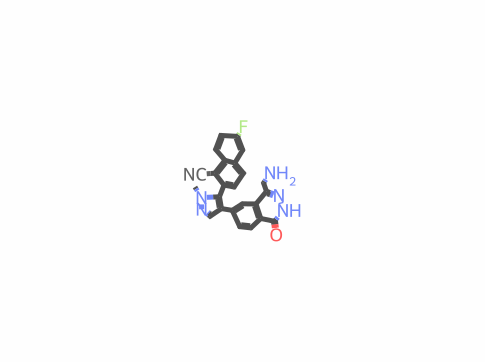 Cn1ncc(-c2ccc3c(=O)[nH]nc(CN)c3c2)c1-c1ccc2cc(F)ccc2c1C#N